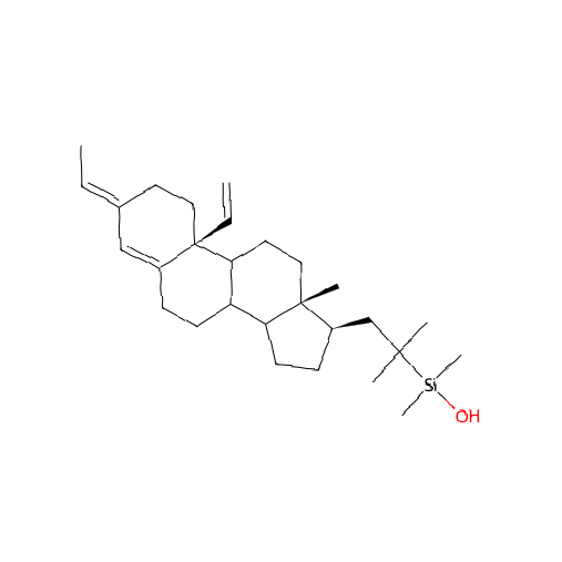 C=C[C@]12CCC(=CC)C=C1CCC1C2CC[C@@]2(C)C1CC[C@@H]2CC(C)(C)[Si](C)(C)O